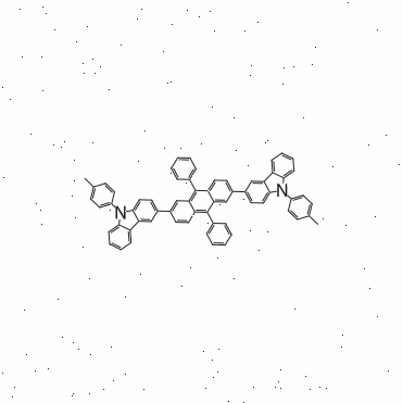 Cc1ccc(-n2c3ccccc3c3cc(-c4ccc5c(-c6ccccc6)c6cc(-c7ccc8c(c7)c7ccccc7n8-c7ccc(C)cc7)ccc6c(-c6ccccc6)c5c4)ccc32)cc1